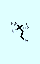 Br.CCCCCC(C)(C)N